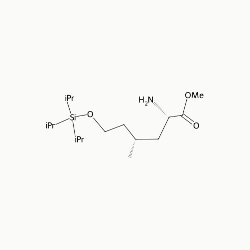 COC(=O)[C@@H](N)C[C@H](C)CCO[Si](C(C)C)(C(C)C)C(C)C